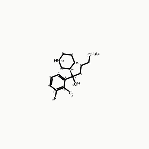 CC(=O)NCCCC(O)(c1cccc(F)c1Cl)[C@@H]1CCCNC1